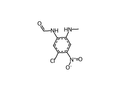 CNc1cc([N+](=O)[O-])c(Cl)cc1NC=O